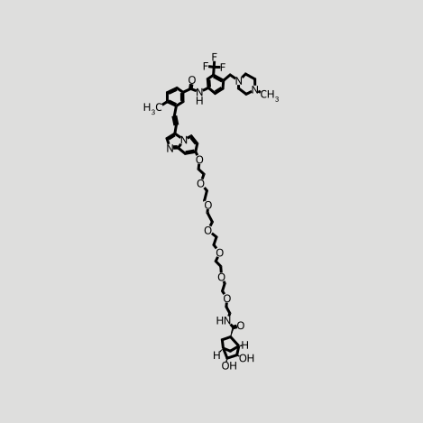 Cc1ccc(C(=O)Nc2ccc(CN3CCN(C)CC3)c(C(F)(F)F)c2)cc1C#Cc1cnc2cc(OCCOCCOCCOCCOCCOCCOCCNC(=O)[C@@H]3C[C@H]4C[C@@H]3[C@H](O)[C@@H]4O)ccn12